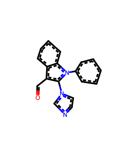 O=Cc1c(-n2ccnc2)n(-c2ccccc2)c2ccccc12